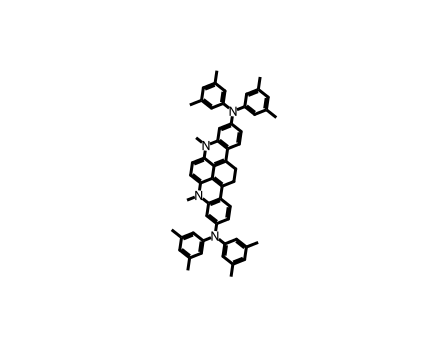 Cc1cc(C)cc(N(c2cc(C)cc(C)c2)c2ccc3c(c2)N(C)c2ccc4c5c2=C3CCC=5c2ccc(N(c3cc(C)cc(C)c3)c3cc(C)cc(C)c3)cc2N4C)c1